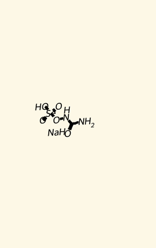 NC(=O)NO[Se](=O)(=O)O.[NaH]